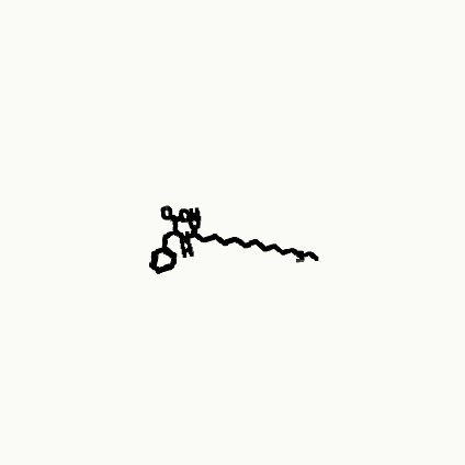 CCSCCCCCCCCCCC(=O)N[C@@H](Cc1ccccc1)C(=O)O